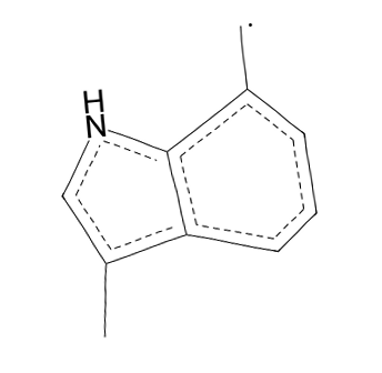 [CH2]c1cccc2c(C)c[nH]c12